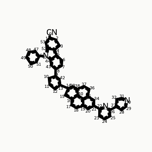 N#Cc1ccc2c3ccc(-c4cccc(-c5cc6ccc7cc(-c8cccc(-c9ccncc9)n8)cc8ccc(c5)c6c78)c4)cc3n(-c3ccccc3)c2c1